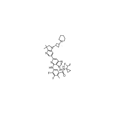 Cc1c(C(=O)NC2(C(F)F)CC2)cc(Nc2nc(-c3cnc4c(c3)N([C@H]3C[C@@](C)(N5CCCCC5)C3)CC4(C)C)cc3ncn(C(C)C)c23)c(F)c1F